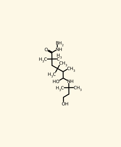 BNC(=O)C(C)(C)CC(C)(C)C(C)C(O)NC(C)(C)CCO